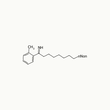 CCCCCCCCCCCCCCCCC(=N)c1ccccc1C